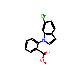 COC(=O)c1ccccc1-n1ccc2ccc(Br)cc21